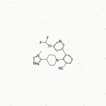 Cn1cnnc1C1CCN(c2c(C#N)cccc2-c2cncc(OC(F)F)c2)CC1